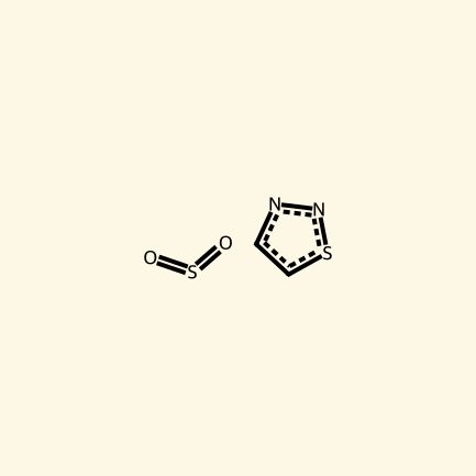 O=S=O.c1csnn1